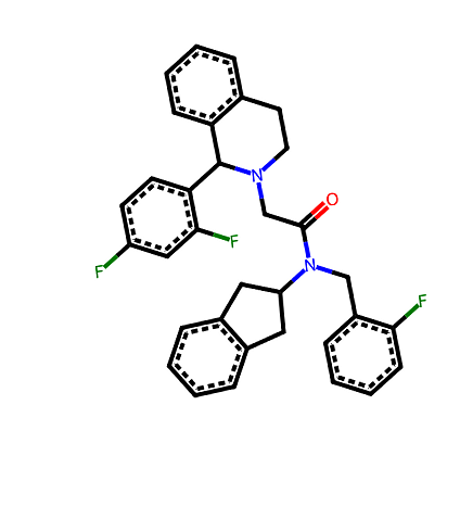 O=C(CN1CCc2ccccc2C1c1ccc(F)cc1F)N(Cc1ccccc1F)C1Cc2ccccc2C1